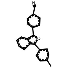 Cc1ccc(-c2oc(-c3ccc(C#N)cc3)c3ccccc23)cc1